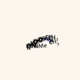 C/N=C(C)\C=C(/C)COc1ccc(-c2ccc3nc(-c4cccnc4)nc(NC)c3c2)cc1